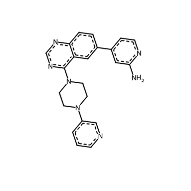 Nc1cc(-c2ccc3ncnc(N4CCN(c5cccnc5)CC4)c3c2)ccn1